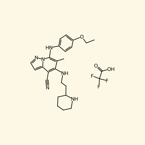 CCOc1ccc(Nc2c(C)c(NCCC3CCCCN3)c(C#N)c3ccnn23)cc1.O=C(O)C(F)(F)F